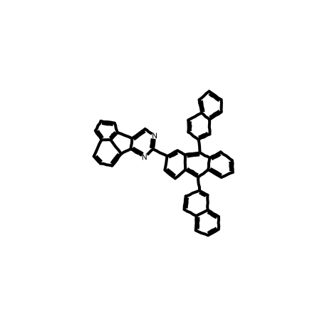 c1ccc2cc(-c3c4ccccc4c(-c4ccc5ccccc5c4)c4cc(-c5ncc6c(n5)-c5cccc7cccc-6c57)ccc34)ccc2c1